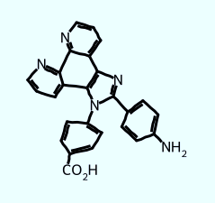 Nc1ccc(-c2nc3c4cccnc4c4ncccc4c3n2-c2ccc(C(=O)O)cc2)cc1